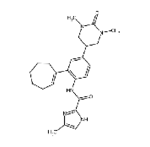 Cc1c[nH]c(C(=O)Nc2ccc(C3CN(C)C(=O)N(C)C3)cc2C2=CCCCCC2)n1